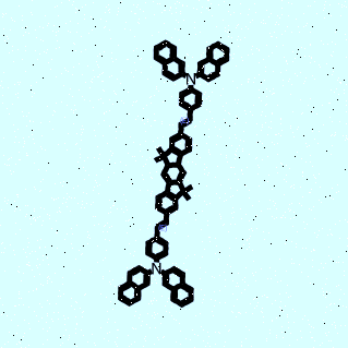 CC1(C)C2=CC3c4ccc(/C=C/c5ccc(N(c6ccc7ccccc7c6)c6ccc7ccccc7c6)cc5)cc4C(C)(C)C3C=C2c2ccc(/C=C/c3ccc(N(c4ccc5ccccc5c4)c4ccc5ccccc5c4)cc3)cc21